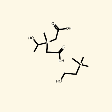 CC(O)[N+](C)(CC(=O)O)CC(=O)O.C[N+](C)(C)CCO